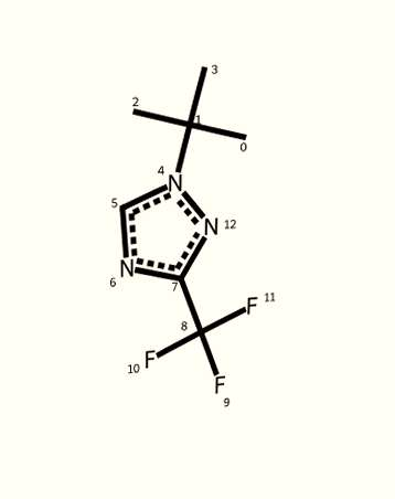 CC(C)(C)n1cnc(C(F)(F)F)n1